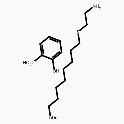 CCCCCCCCCCCCCCCCCCSCCN.O=C(O)c1ccccc1O